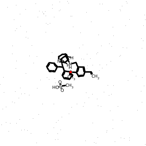 C=Cc1ccc(OC)c(CN[C@H]2C3CCN(CC3)[C@H]2C(c2ccccc2)c2ccccc2)c1.CS(=O)(=O)O